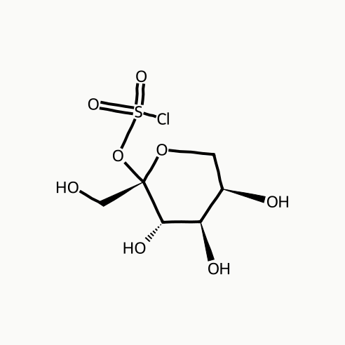 O=S(=O)(Cl)O[C@]1(CO)OC[C@@H](O)[C@@H](O)[C@@H]1O